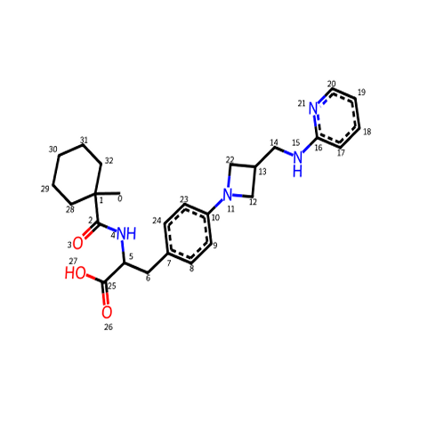 CC1(C(=O)NC(Cc2ccc(N3CC(CNc4ccccn4)C3)cc2)C(=O)O)CCCCC1